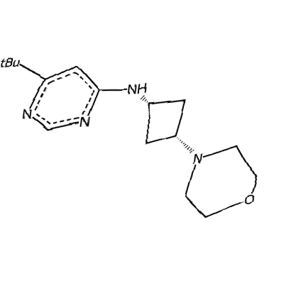 CC(C)(C)c1cc(N[C@H]2C[C@@H](N3CCOCC3)C2)ncn1